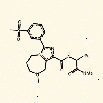 CNC(=O)C(NC(=O)c1nc(-c2cccc(S(C)(=O)=O)c2)n2c1CN(C)CCC2)C(C)(C)C